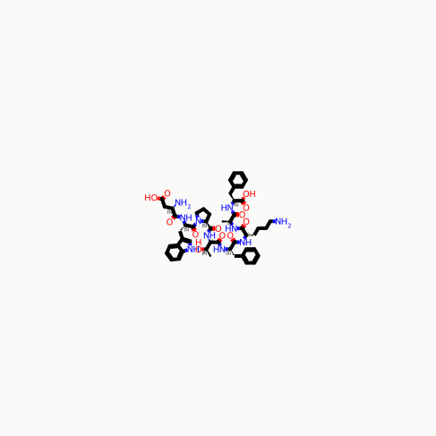 C[C@H](NC(=O)[C@H](CCCCN)NC(=O)[C@H](Cc1ccccc1)NC(=O)[C@@H](NC(=O)[C@@H]1CCCN1C(=O)[C@H](Cc1c[nH]c2ccccc12)NC(=O)[C@@H](N)CC(=O)O)[C@@H](C)O)C(=O)N[C@@H](Cc1ccccc1)C(=O)O